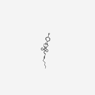 CCCCCC#CC=CS(=O)(=O)N1CCN(c2ccc(F)cc2)CC1